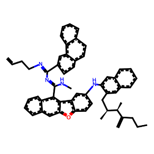 C=CCC/N=C(\N=C(/NC)c1c2ccccc2cc2oc3ccc(Nc4cc5ccccc5cc4C[C@H](C)[C@@H](C)C(=C)CCC)cc3c12)c1ccc2ccc3ccccc3c2c1